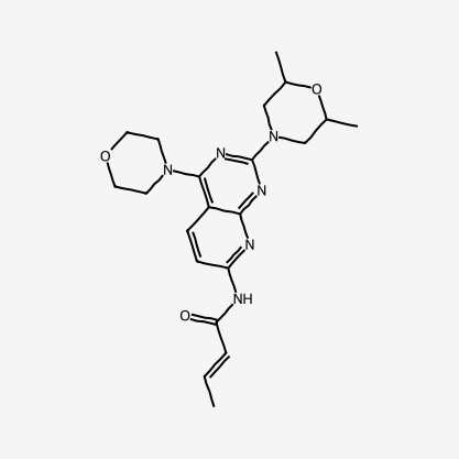 C/C=C/C(=O)Nc1ccc2c(N3CCOCC3)nc(N3CC(C)OC(C)C3)nc2n1